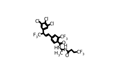 C[C@H](NC(=O)CCC(F)(F)F)NC(=O)c1ccc(/C=C/C(c2cc(Cl)c(Cl)c(Cl)c2)C(F)(F)F)cc1C(F)(F)F